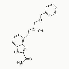 NC(=O)c1cc2c(OC[C@@H](O)COCc3ccccc3)cccc2[nH]1